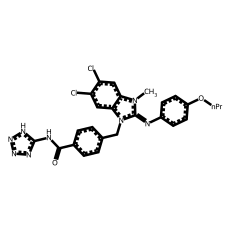 CCCOc1ccc(/N=c2\n(C)c3cc(Cl)c(Cl)cc3n2Cc2ccc(C(=O)Nc3nnn[nH]3)cc2)cc1